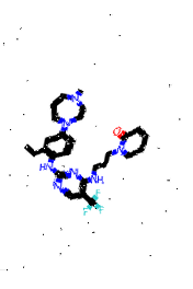 CCc1cc(N2CCCN(C)CC2)ccc1Nc1ncc(C(F)(F)F)c(NCCCN2CCCCC2=O)n1